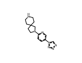 c1cc(N2CCC3(CCNCC3)C2)ncc1-n1cnnn1